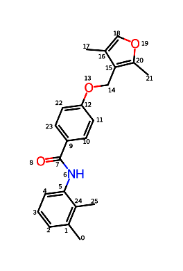 Cc1cccc(NC(=O)c2ccc(OCc3c(C)coc3C)cc2)c1C